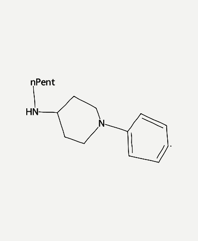 CCCCCNC1CCN(c2cc[c]cc2)CC1